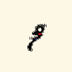 CC[C@H]1OC(=O)[C@H](C)[C@@H](O[C@H]2C[C@@](C)(OC)C[C@H](C)O2)C[C@@H](O[C@H]2C[C@@H](N(C)CC/C(N)=C/N(CCCCc3ccc(-n4cc(C(C)=O)nn4)cc3)NI)C[C@@H](C)O2)[C@](C)(O)C[C@@H](C)CN(C)[C@H](C)[C@@H](O)[C@@H]1O